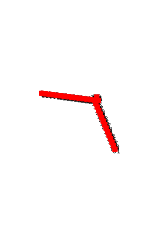 CCCCCCCCCCCCCCCCCCCCCCCCCCCCc1[c]cccc1CCCCCCCCCCCCCCCCCCCCCCCCCCCC